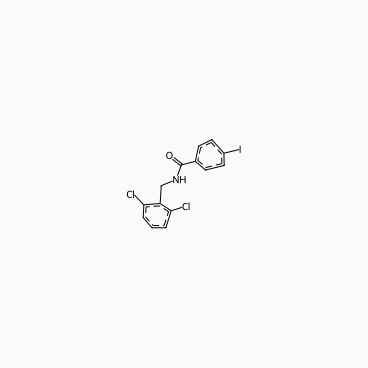 O=C(NCc1c(Cl)cccc1Cl)c1ccc(I)cc1